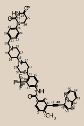 Cc1ccc(C(=O)Nc2ccc(N3CCN(C4CCN(Cc5ccc(N6CCC(=O)NC6=O)cc5)CC4)CC3)c(C(F)(F)F)c2)cc1C#Cc1cnc2cccnn12